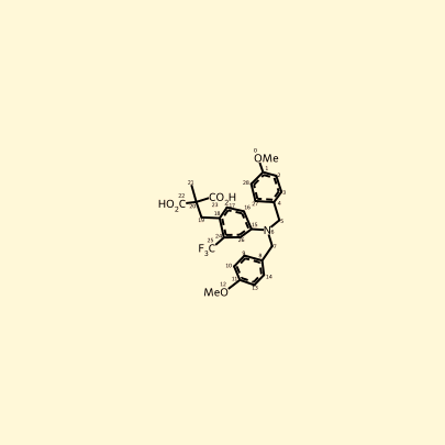 COc1ccc(CN(Cc2ccc(OC)cc2)c2ccc(CC(C)(C(=O)O)C(=O)O)c(C(F)(F)F)c2)cc1